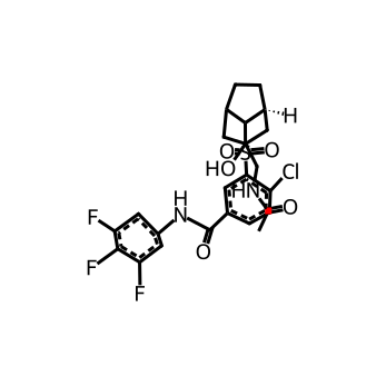 CC(=O)NCC1(O)CC2CC[C@@H](C1)C2S(=O)(=O)c1cc(C(=O)Nc2cc(F)c(F)c(F)c2)ccc1Cl